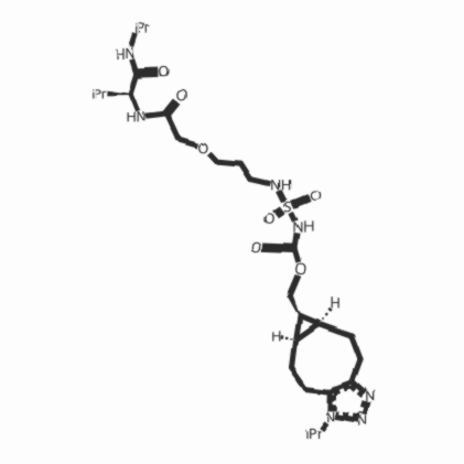 CC(C)NC(=O)[C@@H](NC(=O)COCCCNS(=O)(=O)NC(=O)OC[C@@H]1[C@@H]2CCc3c(nnn3C(C)C)CC[C@@H]21)C(C)C